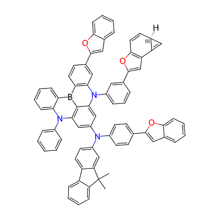 CC1(C)c2ccccc2-c2ccc(N(c3ccc(-c4cc5ccccc5o4)cc3)c3cc4c5c(c3)N(c3cccc(-c6cc7c(o6)C=C[C@H]6C=C76)c3)c3cc(-c6cc7ccccc7o6)ccc3B5c3ccccc3N4c3ccccc3)cc21